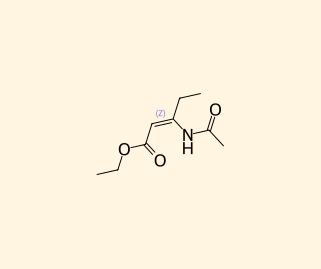 CCOC(=O)/C=C(/CC)NC(C)=O